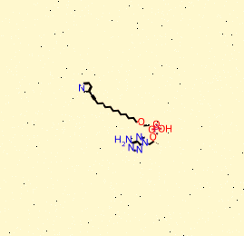 C[C@H](Cn1cnc2c(N)ncnc21)OCP(=O)(O)OCCOCCCCCCCCCCCC#Cc1cccnc1